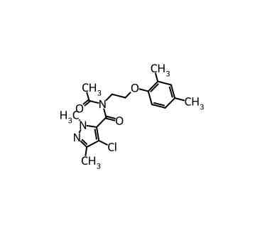 CC(=O)N(CCOc1ccc(C)cc1C)C(=O)c1c(Cl)c(C)nn1C